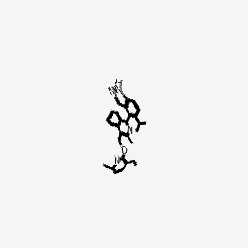 CCc1ccc(C)nc1OCc1c(C)nc(-c2c(C(C)C)ccc3[nH]ncc23)c2ccccc12